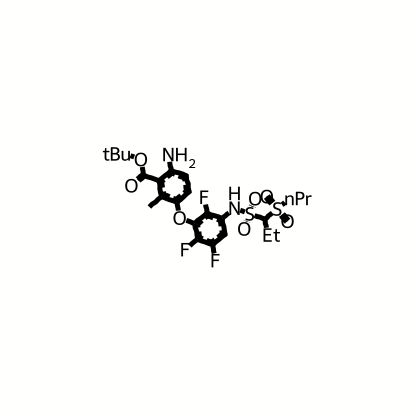 CCCS(=O)(=O)C(CC)S(=O)(=O)Nc1cc(F)c(F)c(Oc2ccc(N)c(C(=O)OC(C)(C)C)c2C)c1F